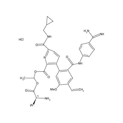 C=Cc1cc(C(=O)Nc2ccc(C(=N)N)cc2)c(-c2ccc(C(=O)NCC3CC3)nc2C(=O)OC(C)OC(=O)[C@@H](N)C(C)C)cc1OC.Cl